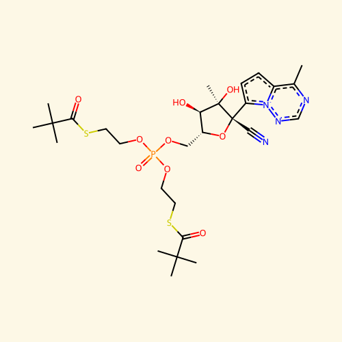 Cc1ncnn2c([C@]3(C#N)O[C@H](COP(=O)(OCCSC(=O)C(C)(C)C)OCCSC(=O)C(C)(C)C)[C@@H](O)[C@@]3(C)O)ccc12